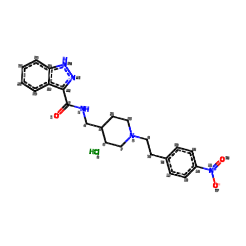 Cl.O=C(NCC1CCN(CCc2ccc([N+](=O)[O-])cc2)CC1)c1n[nH]c2ccccc12